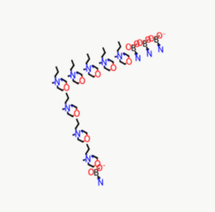 CCC[N+]1(C)CCOCC1.CCC[N+]1(C)CCOCC1.CCC[N+]1(C)CCOCC1.CCC[N+]1(C)CCOCC1.CCC[N+]1(C)CCOCC1.CCC[N+]1(C)CCOCC1.CCC[N+]1(C)CCOCC1.CCC[N+]1(C)CCOCC1.N#CB([O-])[O-].N#CB([O-])[O-].N#CB([O-])[O-].N#CB([O-])[O-]